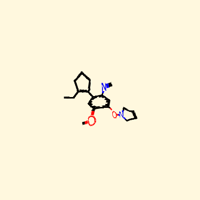 C=Nc1cc(ON2CCCC2)c(OC)cc1C1=C(CC)CCC1